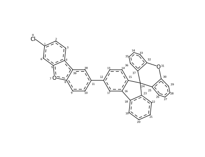 Clc1ccc2c(c1)oc1ccc(-c3ccc4c(c3)-c3ccccc3C43c4ccccc4Oc4ccccc43)cc12